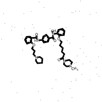 CN1CCN(C(=O)CCCCCOc2ccccc2N(C)C(=O)c2ccc(NC(=O)c3ccccc3OCCCN3CCCCC3)cc2)CC1